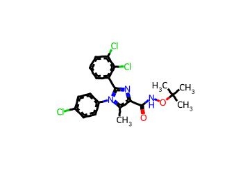 Cc1c(C(=O)NOC(C)(C)C)nc(-c2cccc(Cl)c2Cl)n1-c1ccc(Cl)cc1